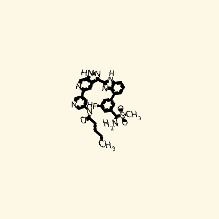 CCCCC(=O)Nc1cncc(-c2cc3c(-c4nc5c(-c6cc(F)cc(C(N)S(C)(=O)=O)c6)cccc5[nH]4)n[nH]c3cn2)c1